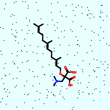 CC(C)=CCC/C(C)=C/CC/C(C)=C/COC(CN(C)C)(C(=O)O)C(=O)O